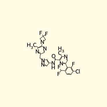 Cc1ncc(-c2c(C(F)F)ccc(Cl)c2F)nc1C(=O)Nc1cnn(Cc2cnc(N3CC(F)(F)C3)c(C)n2)c1